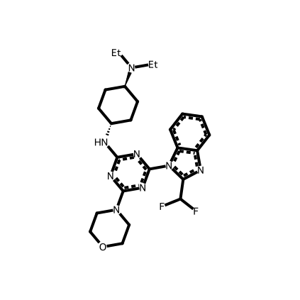 CCN(CC)[C@H]1CC[C@H](Nc2nc(N3CCOCC3)nc(-n3c(C(F)F)nc4ccccc43)n2)CC1